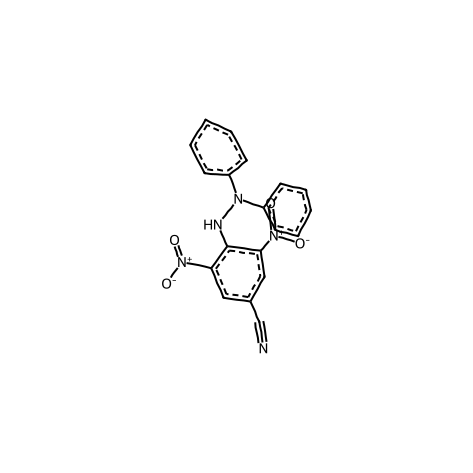 N#Cc1cc([N+](=O)[O-])c(NN(c2ccccc2)c2ccccc2)c([N+](=O)[O-])c1